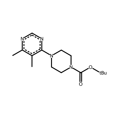 Cc1ncnc(N2CCN(C(=O)OC(C)(C)C)CC2)c1C